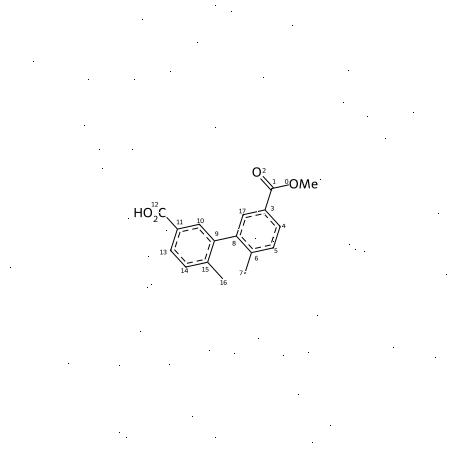 COC(=O)c1ccc(C)c(-c2cc(C(=O)O)ccc2C)c1